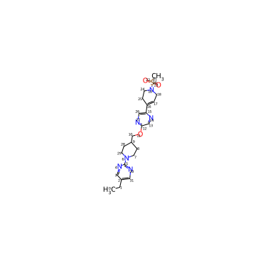 CCc1cnc(N2CCC(COc3cnc(C4=CCN(S(C)(=O)=O)CC4)cn3)CC2)nc1